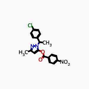 Cc1cc(OC(=O)c2ccc([N+](=O)[O-])cc2)n(C(C)c2ccc(Cl)cc2)n1